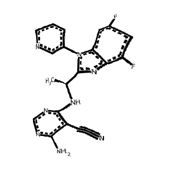 C[C@H](Nc1ncnc(N)c1C#N)c1nc2c(F)cc(F)cc2n1-c1cccnc1